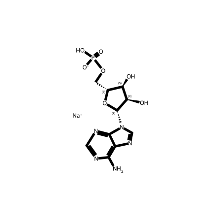 Nc1ncnc2c1ncn2[C@@H]1O[C@H](COP(=O)([O-])O)[C@@H](O)[C@H]1O.[Na+]